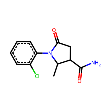 CC1C(C(N)=O)CC(=O)N1c1ccccc1Cl